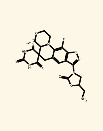 C[C@@H]1OCCN2c3c(cc4c(N5CC(CN)SC5=O)noc4c3F)CC3(C(=O)NC(=O)NC3=O)C12